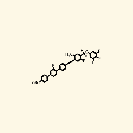 CCCCc1ccc(-c2ccc(-c3ccc(C#Cc4cc(F)c(C(F)(F)Oc5cc(F)c(F)c(F)c5)cc4C)cc3)c(F)c2)cc1